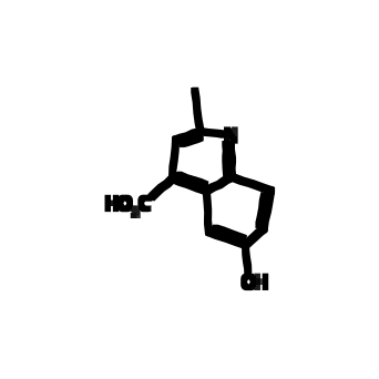 Cc1cc(C(=O)O)c2cc(O)ccc2n1